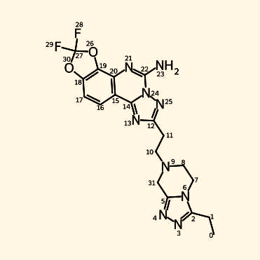 CCc1nnc2n1CCN(CCc1nc3c4ccc5c(c4nc(N)n3n1)OC(F)(F)O5)C2